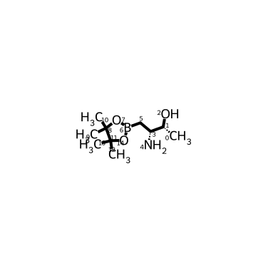 C[C@@H](O)[C@H](N)CB1OC(C)(C)C(C)(C)O1